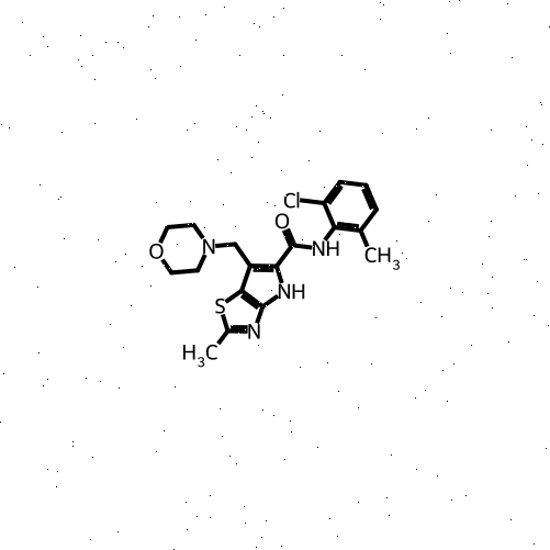 Cc1nc2[nH]c(C(=O)Nc3c(C)cccc3Cl)c(CN3CCOCC3)c2s1